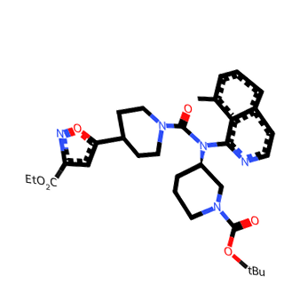 CCOC(=O)c1cc(C2CCN(C(=O)N(c3nccc4cccc(C)c34)[C@@H]3CCCN(C(=O)OC(C)(C)C)C3)CC2)on1